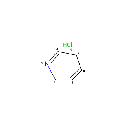 C1=CCN=CC1.Cl